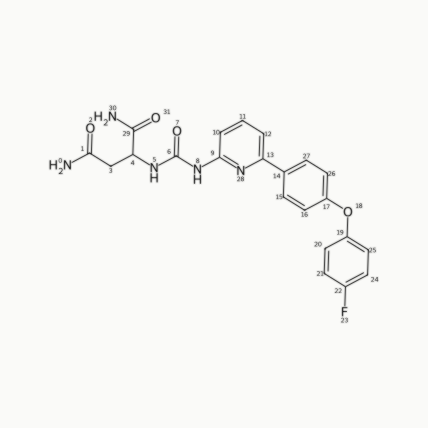 NC(=O)CC(NC(=O)Nc1cccc(-c2ccc(Oc3ccc(F)cc3)cc2)n1)C(N)=O